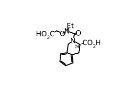 CCN(OCC(=O)O)C(=O)N1Cc2ccccc2C[C@H]1C(=O)O